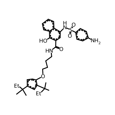 CCC(C)(C)c1ccc(OCCCCNC(=O)c2cc(NS(=O)(=O)c3ccc(N)cc3)c3ccccc3c2O)c(C(C)(C)CC)c1